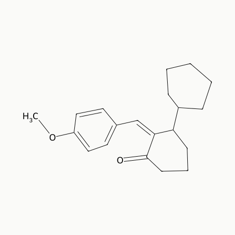 COc1ccc(C=C2C(=O)CCCC2C2CCCCC2)cc1